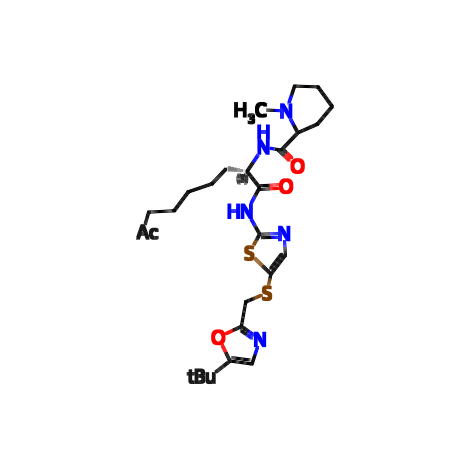 CC(=O)CCCCC[C@H](NC(=O)C1CCCCN1C)C(=O)Nc1ncc(SCc2ncc(C(C)(C)C)o2)s1